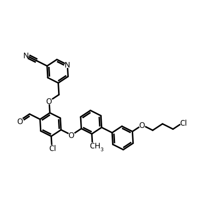 Cc1c(Oc2cc(OCc3cncc(C#N)c3)c(C=O)cc2Cl)cccc1-c1cccc(OCCCCl)c1